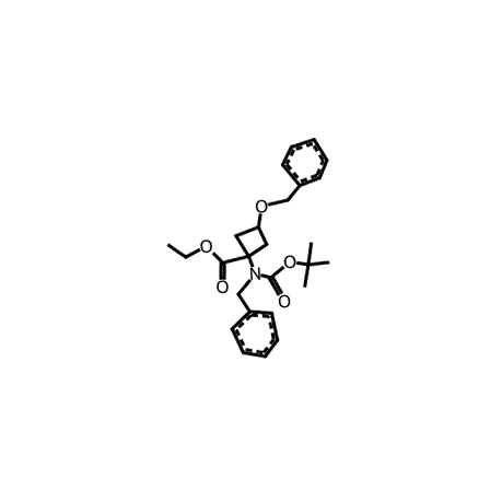 CCOC(=O)C1(N(Cc2ccccc2)C(=O)OC(C)(C)C)CC(OCc2ccccc2)C1